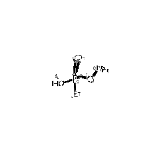 CCCOP(=O)(O)CC